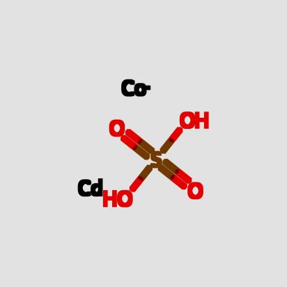 O=S(=O)(O)O.[Cd].[Co]